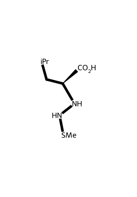 CSNN[C@@H](CC(C)C)C(=O)O